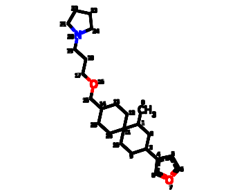 CC1CC(c2ccoc2)CCC12CCC(COCCCN1CCCC1)CC2